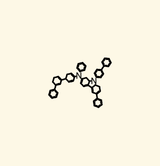 C1=CC(C2=CCCC(c3ccccc3)=C2)CC=C1N(C1=CC=C2C3=CC(c4ccccc4)=CCC3N(c3ccc(-c4ccccc4)cc3)C2C1)c1ccccc1